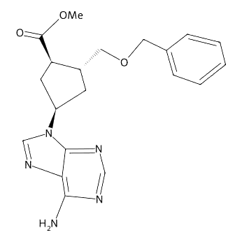 COC(=O)[C@@H]1C[C@H](n2cnc3c(N)ncnc32)C[C@H]1COCc1ccccc1